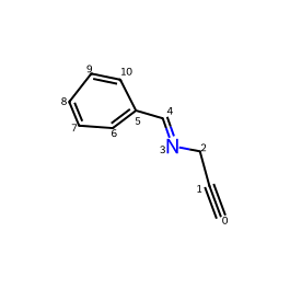 C#CC/N=C/c1ccccc1